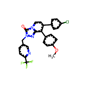 COc1ccc(-c2c(-c3ccc(Cl)cc3)ccn3c(=O)n(Cc4ccc(C(F)(F)F)nc4)nc23)cc1